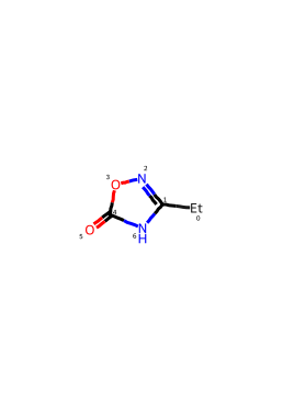 CCc1noc(=O)[nH]1